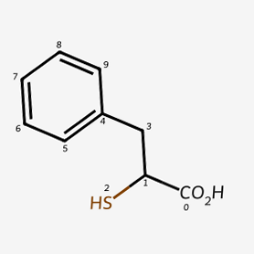 O=C(O)C(S)Cc1ccccc1